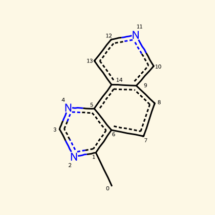 Cc1ncnc2c1ccc1cnccc12